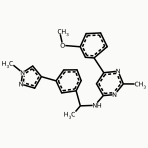 COc1cccc(-c2cc(NC(C)c3cccc(-c4cnn(C)c4)c3)nc(C)n2)c1